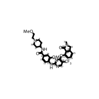 COCCN1CCC(NC(=O)c2ccc(Nc3ncc(C(F)(F)F)c(Oc4cccc5c4C(=O)N(C)C5)n3)c(OC)c2)CC1